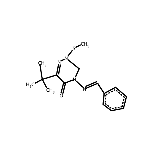 CSN1CN(/N=C/c2ccccc2)C(=O)C(C(C)(C)C)=N1